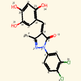 CC(C)C1=NN(c2ccc(Cl)c(Cl)c2)C(=O)/C1=C/c1cc(O)c(O)cc1O